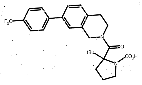 CC(C)(C)C1(C(=O)N2CCc3ccc(-c4ccc(C(F)(F)F)cc4)cc3C2)CCCN1C(=O)O